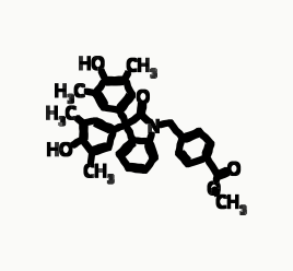 COC(=O)c1ccc(CN2C(=O)C(c3cc(C)c(O)c(C)c3)(c3cc(C)c(O)c(C)c3)c3ccccc32)cc1